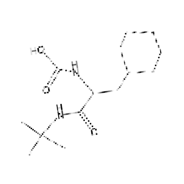 CC(C)(C)NC(=O)C(CC1CCCCC1)NC(=O)O